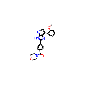 COc1ccccc1-c1ccnc2[nH]c(-c3ccc(C(=O)N4CCOCC4)cc3)nc12